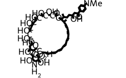 CNc1ccc(C(=O)CC(O)CCC(C)C2OC(=O)CC(O)CC(O)CC(O)CC(O)CC(O)CC(O)CC3(O)CC(O)C(C(=O)O)C(CC(OC4OC(C)C(O)C(N)C4O)/C=C/C=C/C=C/C=C/C=C/C=C\C=C/C2C)O3)cc1